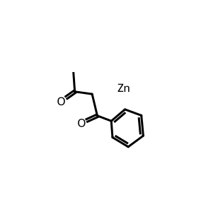 CC(=O)CC(=O)c1ccccc1.[Zn]